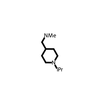 CNCC1CCN(C(C)C)CC1